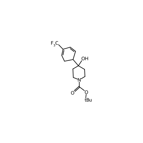 CC(C)(C)OC(=O)N1CCC(O)(C2C=CC(C(F)(F)F)=CC2)CC1